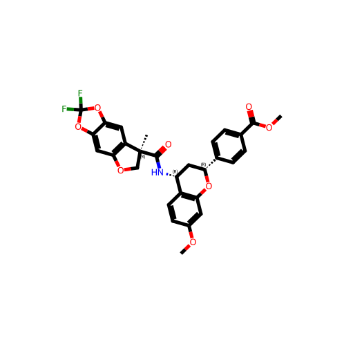 COC(=O)c1ccc([C@H]2C[C@@H](NC(=O)[C@@]3(C)COc4cc5c(cc43)OC(F)(F)O5)c3ccc(OC)cc3O2)cc1